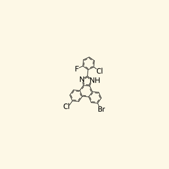 Fc1cccc(Cl)c1-c1nc2c3ccc(Cl)cc3c3cc(Br)ccc3c2[nH]1